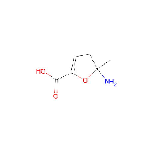 CC1(N)CC=C(C(=O)O)O1